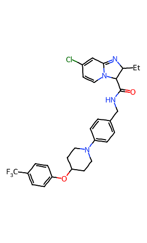 CCC1N=C2C=C(Cl)C=CN2C1C(=O)NCc1ccc(N2CCC(Oc3ccc(C(F)(F)F)cc3)CC2)cc1